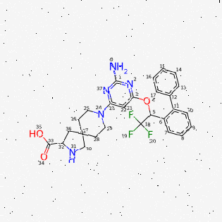 Nc1nc(OC(c2ccccc2-c2ccccc2)C(F)(F)F)cc(N2CCC3(CC2)CNC(C(=O)O)C3)n1